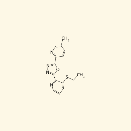 CCSc1cccnc1-c1nnc(-c2ccc(C)cn2)o1